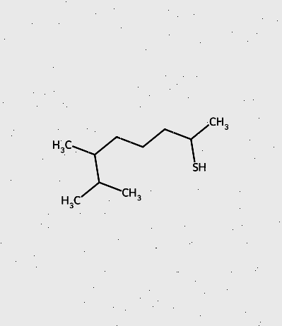 CC(S)CCCC(C)C(C)C